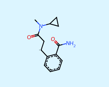 CN(C(=O)C[CH]c1ccccc1C(N)=O)C1CC1